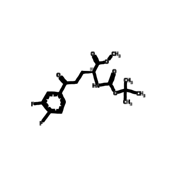 COC(=O)[C@H](CCC(=O)c1ccc(F)c(F)c1)NC(=O)OC(C)(C)C